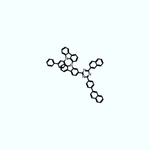 c1ccc(-c2cccc(-n3c4ccccc4c4cccc(-n5c6ccccc6c6ccc(-c7nc(-c8ccc(-c9ccc%10ccccc%10c9)cc8)nc(-c8ccc9ccccc9c8)n7)cc65)c43)c2)cc1